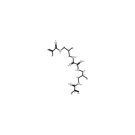 C=C(C)C(=O)OCC(C)COC(=O)C(=O)OCC(C)COC(=O)C(=C)C